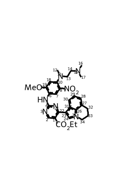 CCOC(=O)c1cnc(Nc2cc([N+](=O)[O-])c(N(C)CCN(C)C)cc2OC)nc1-c1cn2c3c(cccc13)CCC2